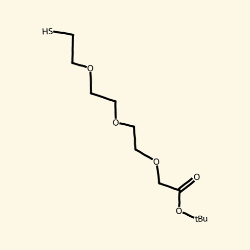 CC(C)(C)OC(=O)COCCOCCOCCS